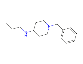 CCCNC1CCN(Cc2ccccc2)CC1